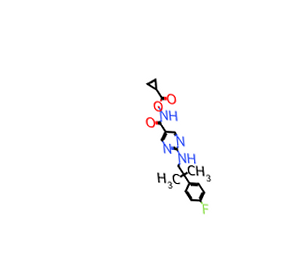 CC(C)(CNc1ncc(C(=O)NOC(=O)C2CC2)cn1)c1ccc(F)cc1